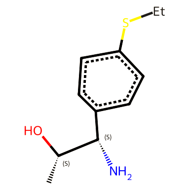 CCSc1ccc([C@H](N)[C@H](C)O)cc1